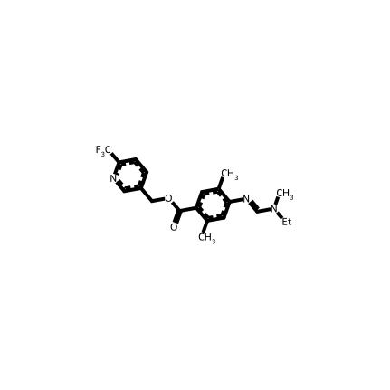 CCN(C)/C=N/c1cc(C)c(C(=O)OCc2ccc(C(F)(F)F)nc2)cc1C